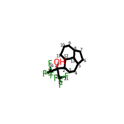 OC(C1CCC2CCC3CCCC1C32)(C(F)(F)F)C(F)(F)F